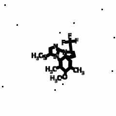 COC1C(C)=CC23C=CC=C(C(F)(F)F)N2c2ncc(SC)n2C3=C1C